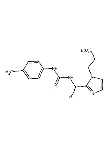 CCOC(=O)CCn1ccnc1C(CC)NC(=O)Nc1ccc(C)cc1